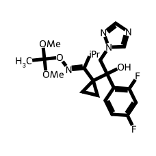 COC(C)(OC)ON=C(C(C)C)C1(C(O)(Cn2cncn2)c2ccc(F)cc2F)CC1